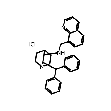 Cl.c1ccc(C(c2ccccc2)C2C(NCc3cccc4cccnc34)C3CCN2CC3)cc1